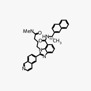 CNC(=O)CCCn1c(-c2ccc3cnccc3c2)nc2cccc(C(=O)N[C@@H](C)c3ccc4ccccc4c3)c21